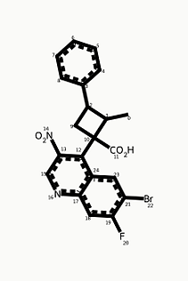 CC1C(c2ccccc2)CC1(C(=O)O)c1c([N+](=O)[O-])cnc2cc(F)c(Br)cc12